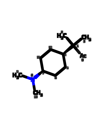 CC(=O)C(C)(C)[C@H]1CC[C@@H](N(C)C)CC1